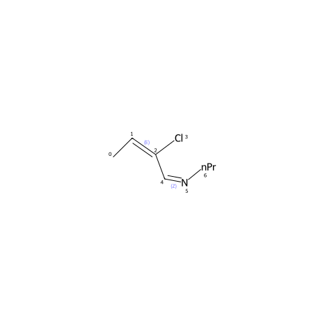 C/C=C(Cl)\C=N/CCC